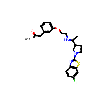 COC(=O)Cc1cccc(OCCNC(C)C2CCN(c3nc4ccc(Cl)cc4s3)C2)c1